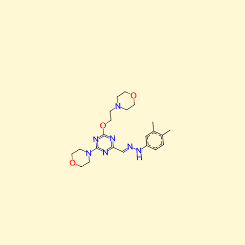 Cc1ccc(NN=Cc2nc(OCCN3CCOCC3)nc(N3CCOCC3)n2)cc1C